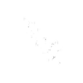 OC[C@@H](O)[C@@H](O)[C@H](O)Cc1cnc([C@@H](O)[C@@H](O)[C@H](O)[C@H](O)CO)cn1